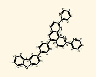 c1ccc(-c2ccc3cc(-c4ccc(-c5ccc6sc7ccccc7c6c5)cc4)c4ccc(-c5ccccn5)nc4c3n2)nc1